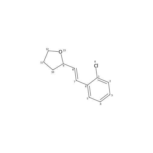 Clc1ccccc1C=CC1CCCO1